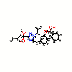 CCCCC(OC)(OC)c1nc(Cc2ccc(-c3ccccc3C(=O)O)cc2)n(CCC)n1